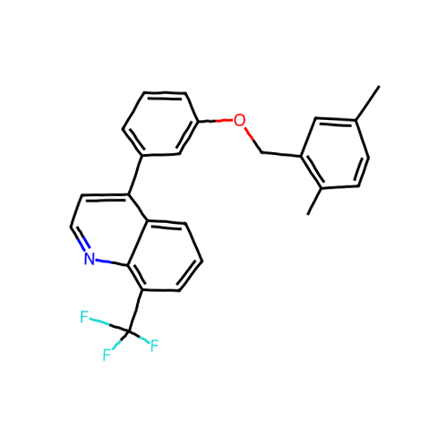 Cc1ccc(C)c(COc2cccc(-c3ccnc4c(C(F)(F)F)cccc34)c2)c1